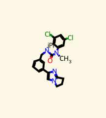 CC(C)N(Cc1cccc(-c2cn3c(n2)CCC3)c1)C(=O)N(C)c1cc(Cl)cc(Cl)c1